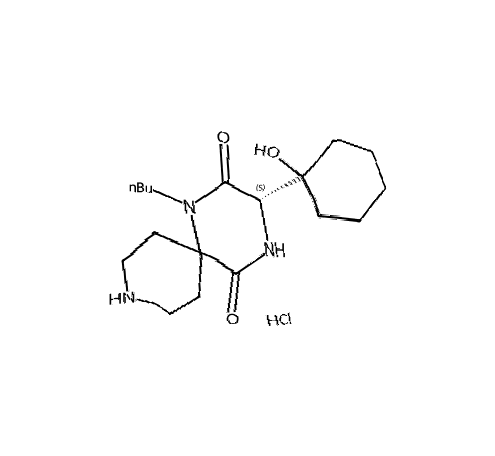 CCCCN1C(=O)[C@H](C2(O)CCCCC2)NC(=O)C12CCNCC2.Cl